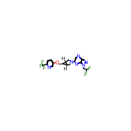 FC(F)Cn1ncc2ncc(N3C[C@@H]4[C@@H](COc5ccc(C(F)(F)F)nc5)[C@@H]4C3)nc21